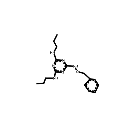 CCCNc1nc(NCCC)nc(NOCc2ccccc2)n1